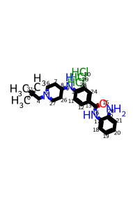 CC(C)(C)CN1CCC(Nc2ccc(C(=O)Nc3ccccc3N)cc2)CC1.Cl.Cl.Cl